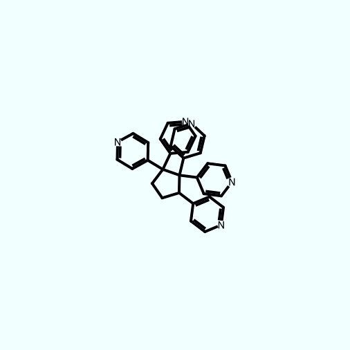 c1cc(C2CCC(c3ccncc3)(c3ccncc3)C2(c2ccncc2)c2ccncc2)ccn1